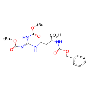 CC(C)(C)OC(=O)N=C(NCCC(NC(=O)OCc1ccccc1)C(=O)O)NC(=O)OC(C)(C)C